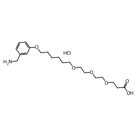 Cl.NCc1cccc(OCCCCCCOCCOCCOCCC(=O)O)c1